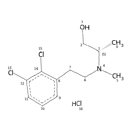 C[C@@H](CO)N(C)CCc1cccc(Cl)c1Cl.Cl